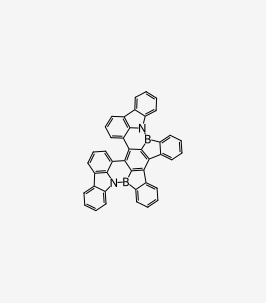 c1ccc2c(c1)B1c3c-2c2c4c(c3-c3cccc5c6ccccc6n1c35)-c1cccc3c5ccccc5n(c13)B4c1ccccc1-2